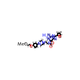 COCCOc1ccc(N2CCN(CCn3c(=O)oc4c3nc(N)n3nc(-c5ccco5)nc43)CC2)cc1